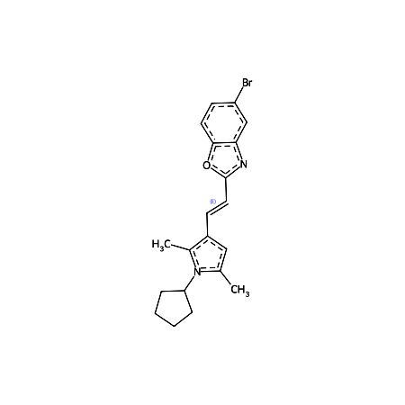 Cc1cc(/C=C/c2nc3cc(Br)ccc3o2)c(C)n1C1CCCC1